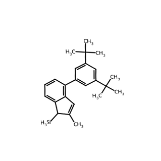 CC1=Cc2c(-c3cc(C(C)(C)C)cc(C(C)(C)C)c3)cccc2C1[SiH3]